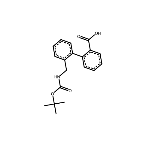 CC(C)(C)OC(=O)NCc1ccccc1-c1ccccc1C(=O)O